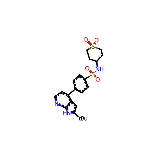 CC(C)(C)c1cc2c(-c3ccc(S(=O)(=O)NC4CCS(=O)(=O)CC4)cc3)ccnc2[nH]1